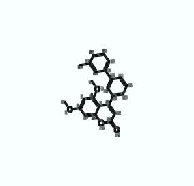 COc1cc(OC)c2c(-c3cccc(-c4cccc(C)c4)c3)cc(=O)oc2c1